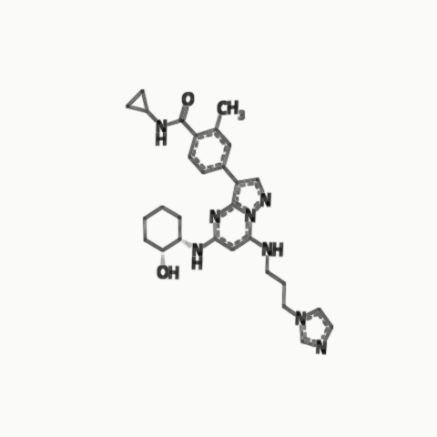 Cc1cc(-c2cnn3c(NCCCn4ccnc4)cc(N[C@H]4CCCC[C@H]4O)nc23)ccc1C(=O)NC1CC1